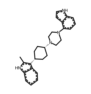 Cc1[nH]c2ccccc2c1[C@H]1CC[C@@H](N2CCN(c3cccc4[nH]ccc34)CC2)CC1